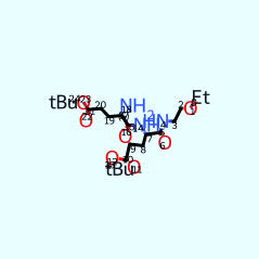 CCOCCNC(=O)C(CCC(=O)OC(C)(C)C)NC(=O)[C@@H](N)CCC(=O)OC(C)(C)C